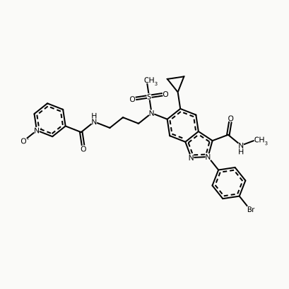 CNC(=O)c1c2cc(C3CC3)c(N(CCCNC(=O)c3ccc[n+]([O-])c3)S(C)(=O)=O)cc2nn1-c1ccc(Br)cc1